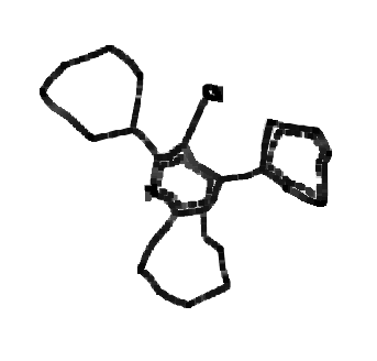 N#Cc1c(C2CCCCC2)nc2c(c1-c1ccccc1)CCCCC2